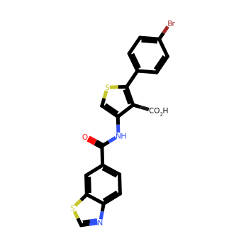 O=C(Nc1csc(-c2ccc(Br)cc2)c1C(=O)O)c1ccc2ncsc2c1